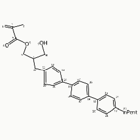 C=C(C)C(=O)OCC(CO)Cc1ccc(-c2ccc(-c3ccc(CCCCC)cc3)cc2)cc1